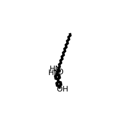 CCCCCCCCCCCCCCCCCCNC(=O)Nc1ccc(-c2ccc(O)cc2)cc1